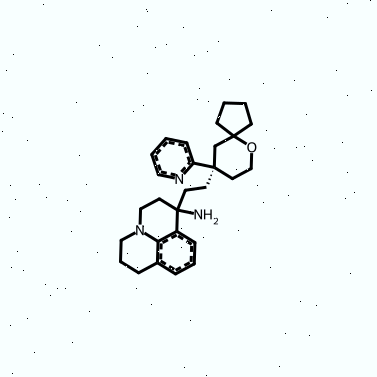 NC1(CC[C@@]2(c3ccccn3)CCOC3(CCCC3)C2)CCN2CCCc3cccc1c32